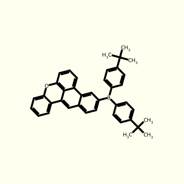 CC(C)(C)c1ccc(B(c2ccc(C(C)(C)C)cc2)c2ccc3cc4c5c(cccc5c3c2)Oc2ccccc2-4)cc1